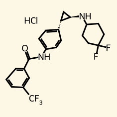 Cl.O=C(Nc1ccc([C@@H]2C[C@H]2NC2CCC(F)(F)CC2)cc1)c1cccc(C(F)(F)F)c1